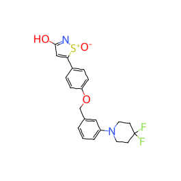 [O-][s+]1nc(O)cc1-c1ccc(OCc2cccc(N3CCC(F)(F)CC3)c2)cc1